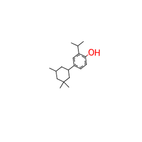 CC1CC(c2ccc(O)c(C(C)C)c2)CC(C)(C)C1